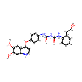 COc1cc2nccc(Oc3ccc(NC(=O)NC(=O)Nc4ccccc4CCO)cc3)c2cc1OC